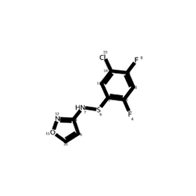 Fc1cc(F)c(SNc2ccon2)cc1Cl